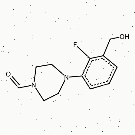 O=CN1CCN(c2cccc(CO)c2F)CC1